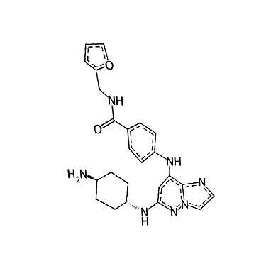 N[C@H]1CC[C@H](Nc2cc(Nc3ccc(C(=O)NCc4ccco4)cc3)c3nccn3n2)CC1